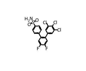 NS(=O)(=O)c1ccc(-c2cc(F)c(F)cc2-c2cc(Cl)c(Cl)c(Cl)c2)cc1